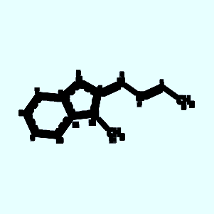 C/C=N/N=c1/sc2ccccc2n1C